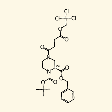 CC(C)(C)OC(=O)N1CCN(C(=O)CCC(=O)OCC(Cl)(Cl)Cl)C[C@H]1C(=O)OCc1ccccc1